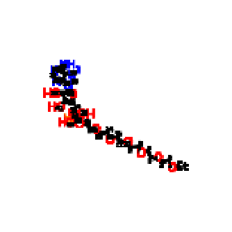 CCOCCOCCOCCOCCOCCOCCO[PH](O)(O)OC[C@H]1O[C@@H](n2cnc3c(N)ncnc32)[C@H](O)[C@@H]1O